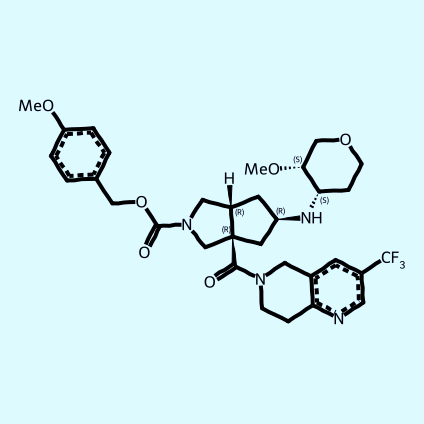 COc1ccc(COC(=O)N2C[C@@H]3C[C@@H](N[C@H]4CCOC[C@H]4OC)C[C@]3(C(=O)N3CCc4ncc(C(F)(F)F)cc4C3)C2)cc1